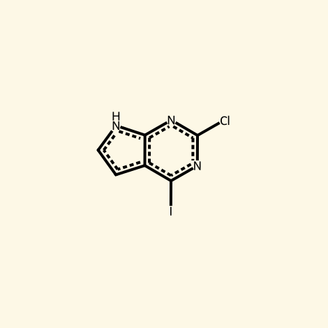 Clc1nc(I)c2cc[nH]c2n1